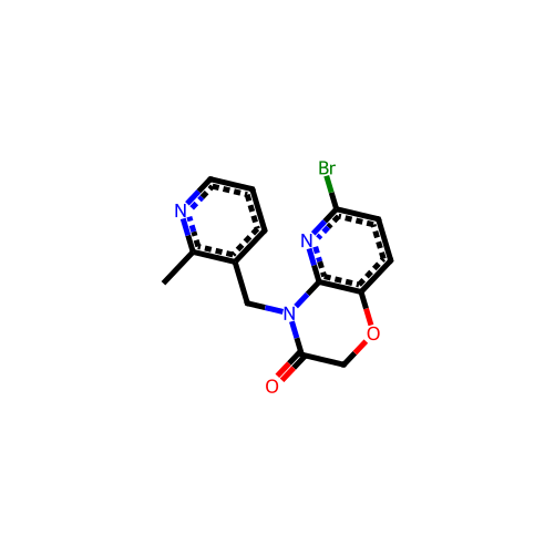 Cc1ncccc1CN1C(=O)COc2ccc(Br)nc21